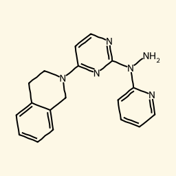 NN(c1ccccn1)c1nccc(N2CCc3ccccc3C2)n1